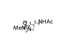 C[15N](C)C(CCCCNC([13CH3])=O)C(=O)N[13CH3]